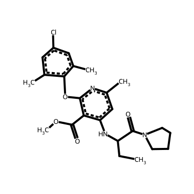 CCC(Nc1cc(C)nc(Oc2c(C)cc(Cl)cc2C)c1C(=O)OC)C(=O)N1CCCC1